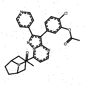 CC(=O)Oc1cc(-c2c(-c3ccncc3)nn3c(C4CC5CCC(C4)N5C(C)=O)ccnc23)ccc1Cl